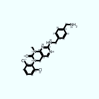 CN1C(=O)N(c2c(Cl)cccc2Cl)Cc2cnc(NCc3ccc(CN)cc3)nc21